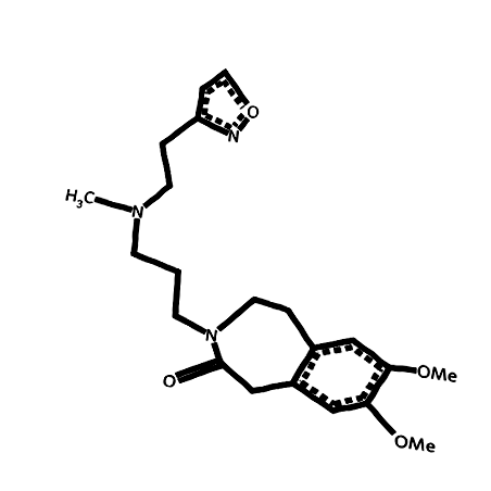 COc1cc2c(cc1OC)CC(=O)N(CCCN(C)CCc1ccon1)CC2